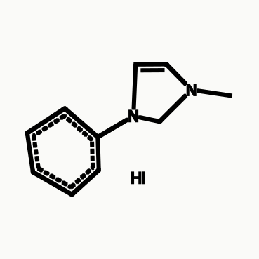 CN1C=CN(c2ccccc2)C1.I